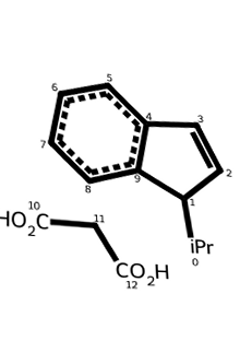 CC(C)C1C=Cc2ccccc21.O=C(O)CC(=O)O